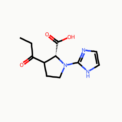 CCC(=O)C1CCN(c2ncc[nH]2)[C@H]1C(=O)O